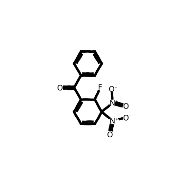 O=C(C1=CC=CC([N+](=O)[O-])([N+](=O)[O-])C1F)c1ccccc1